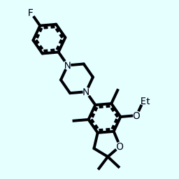 CCOc1c(C)c(N2CCN(c3ccc(F)cc3)CC2)c(C)c2c1OC(C)(C)C2